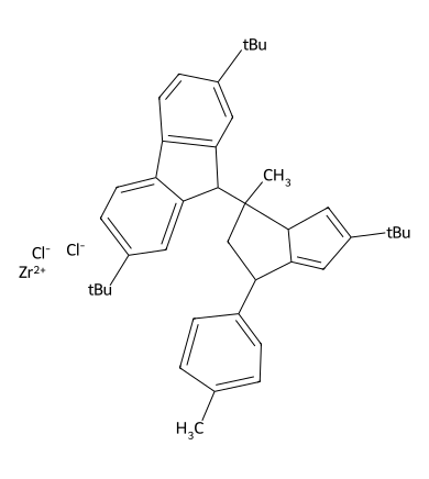 Cc1ccc(C2CC(C)(C3c4cc(C(C)(C)C)ccc4-c4ccc(C(C)(C)C)cc43)C3C=C(C(C)(C)C)C=C23)cc1.[Cl-].[Cl-].[Zr+2]